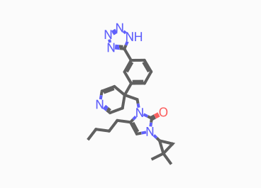 CCCCc1cn(C2CC2(C)C)c(=O)n1CC1(c2cccc(-c3nnn[nH]3)c2)C=CN=CC1